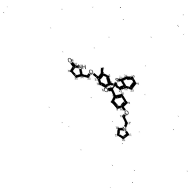 Cc1cc([C@@]2(C(=O)c3ccc(OCCN4CCCC4)cc3)C=C3C=CC=CC3S2)ccc1OCC1CCC(=O)N1